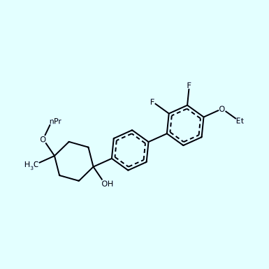 CCCOC1(C)CCC(O)(c2ccc(-c3ccc(OCC)c(F)c3F)cc2)CC1